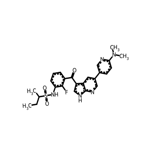 CCC(C)S(=O)(=O)Nc1cccc(C(=O)c2c[nH]c3ncc(-c4ccc(N(C)C)nc4)cc23)c1F